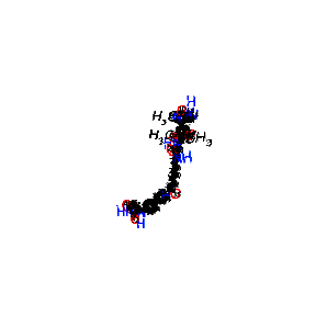 COc1cc(-c2cn(C)c(=O)c3[nH]ncc23)cc(OC)c1CNCC(=O)NCCCCCCCC(=O)N1CCC(c2ccc(NC3CCC(=O)NC3=O)cc2)CC1